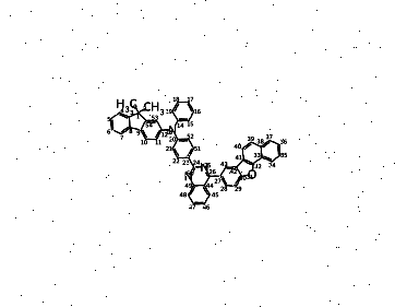 CC1(C)c2ccccc2-c2ccc(N(c3ccccc3)c3ccc(-c4nc(-c5ccc6oc7c8ccccc8ccc7c6c5)c5ccccc5n4)cc3)cc21